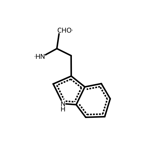 [NH]C([C]=O)Cc1c[nH]c2ccccc12